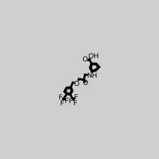 O=C(CNc1cccc(C(=O)O)c1)COCc1ccc(C(F)(F)F)c(C(F)(F)F)c1